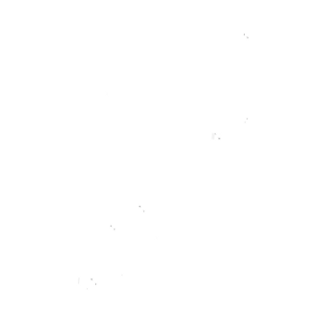 NC(=O)c1nn(-c2ccc3c(c2)OCO3)c2c1CCc1ccc(NC(=O)c3ccncc3Cl)cc1-2